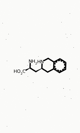 N[C@@H](C[C@@H]1Cc2ccccc2CN1)C(=O)O